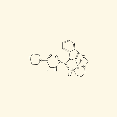 CC[C@@]12C=C(C(=O)NC(C)C(=O)N3CCOCC3)n3c4c(c5ccccc53)CCN(CCC1)[C@H]42